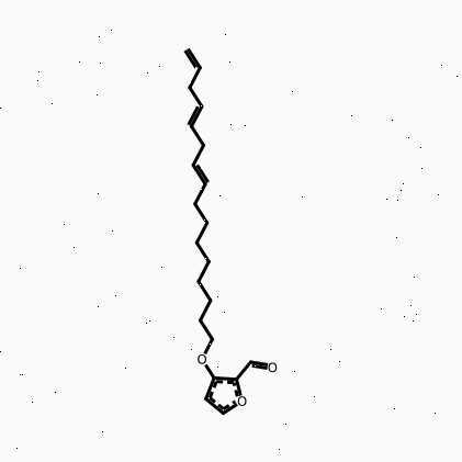 C=CCC=CCC=CCCCCCCCCOc1ccoc1C=O